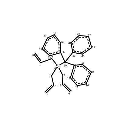 C=CC[Si](CC=C)(CC=C)C(c1ccccc1)(c1ccccc1)c1ccccc1